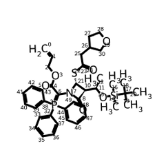 C=CCOC(=O)C(N1C(=O)[C@H]([C@@H](C)O[Si](C)(C)C(C)(C)C)[C@H]1SC(=O)CC1CCOC1)=P(c1ccccc1)(c1ccccc1)c1ccccc1